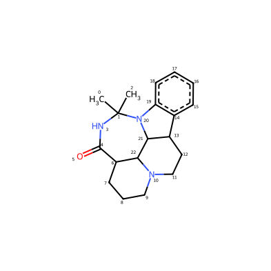 CC1(C)NC(=O)C2CCCN3CCC4c5ccccc5N1C4C23